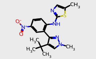 Cc1cnc(Nc2ccc([N+](=O)[O-])cc2-c2nn(C)cc2C(C)(C)C)s1